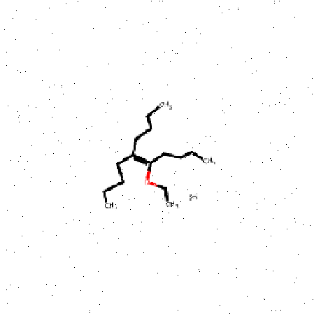 CCCCC(CCCC)=C(CCCC)OCC.[Sn]